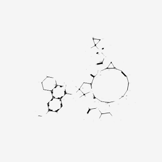 CCC(C)N(C(=O)O)[C@@H]1C(=O)N2[C@@H](C[C@@](C)(Oc3nc4c(c5cc(OC)ccc35)CCCO4)C2(F)F)C(=O)N[C@]2(C(=O)NS(=O)(=O)C3(C)CC3)C[C@H]2/C=C\CC[C@@H](C)O[C@H]1C